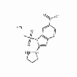 CS(=O)(=O)n1c([C@H]2CCCN2)cc2ccc([N+](=O)[O-])cc21.Cl